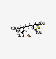 CC(C)(C)C1=CC(=CC=Cc2cc(C(C)(C)C)[s+]c(C(C)(C)C)c2)C=C(C(C)(C)C)[Se]1.[Br-]